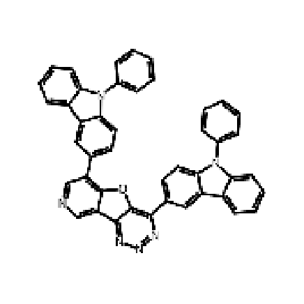 c1ccc(-n2c3ccccc3c3cc(-c4cncc5c4oc4c(-c6ccc7c(c6)c6ccccc6n7-c6ccccc6)nnnc45)ccc32)cc1